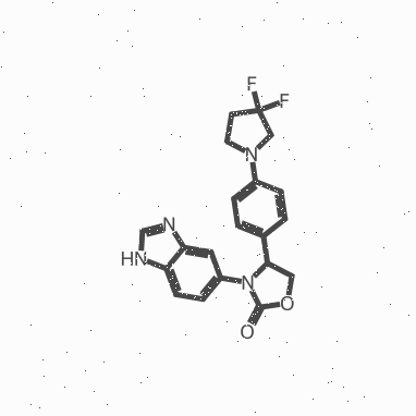 O=C1OCC(c2ccc(N3CCC(F)(F)C3)cc2)N1c1ccc2[nH]cnc2c1